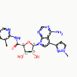 Cc1cccnc1NC(=O)[C@H]1O[C@@H](n2cc(-c3ccn(C)n3)c3c(N)ncnc32)[C@H](O)[C@@H]1O